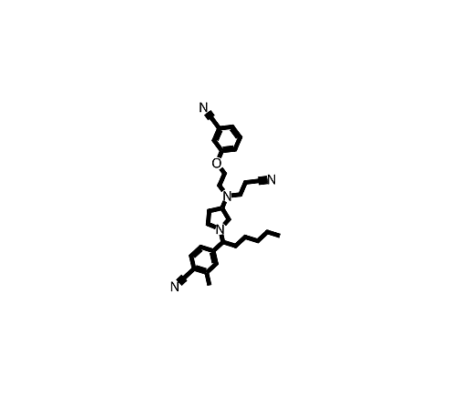 CCCCCC(c1ccc(C#N)c(C)c1)N1CCC(N(CCC#N)CCOc2cccc(C#N)c2)C1